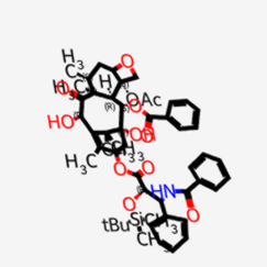 CC(=O)O[C@@]12COC1C[C@H](C)[C@@]1(C)C(=O)[C@H](O)C3=C(C)C(OC(=O)[C@H](O[Si](C)(C)C(C)(C)C)C(NC(=O)c4ccccc4)c4ccccc4)C[C@@](O)([C@@H](OC(=O)c4ccccc4)[C@@H]12)C3(C)C